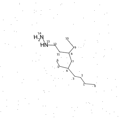 CCCCC(CC)CC(CC)CCNN